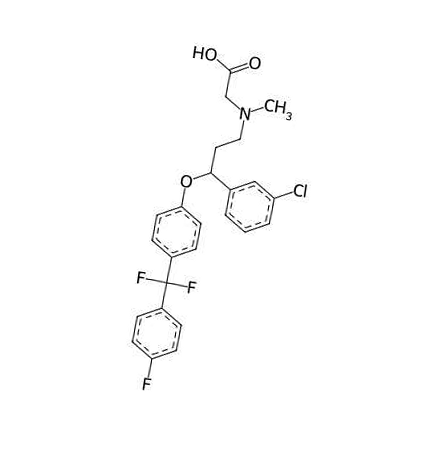 CN(CCC(Oc1ccc(C(F)(F)c2ccc(F)cc2)cc1)c1cccc(Cl)c1)CC(=O)O